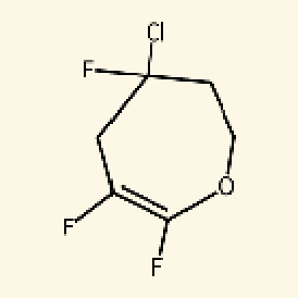 FC1=C(F)OCCC(F)(Cl)C1